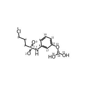 O=S(=O)(CCCCl)Nc1cccc(OB(O)O)c1